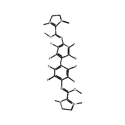 CO/C(=N\c1c(F)c(F)c(-c2c(F)c(F)c(/N=C(\OC)C3=[N+](C)CCN3C)c(F)c2F)c(F)c1F)C1=[N+](C)CCN1C